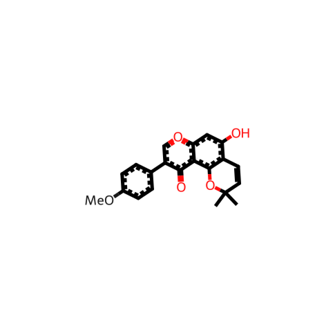 COc1ccc(-c2coc3cc(O)c4c(c3c2=O)OC(C)(C)C=C4)cc1